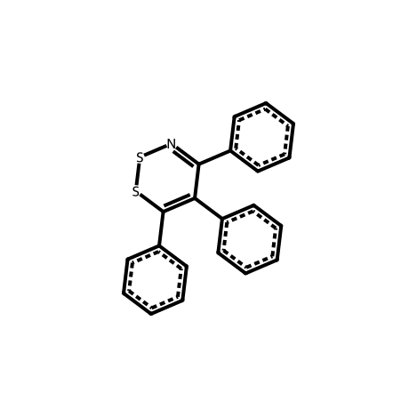 c1ccc(C2=NSSC(c3ccccc3)=C2c2ccccc2)cc1